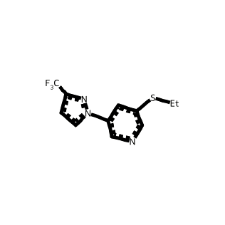 CCSc1cncc(-n2ccc(C(F)(F)F)n2)c1